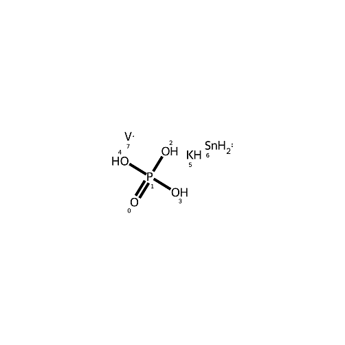 O=P(O)(O)O.[KH].[SnH2].[V]